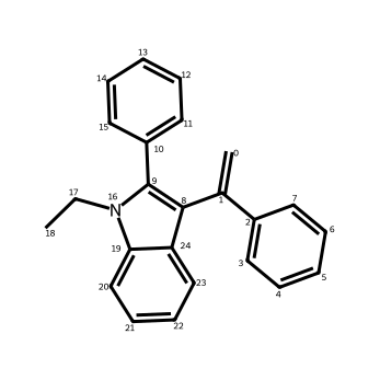 C=C(c1ccccc1)c1c(-c2ccccc2)n(CC)c2ccccc12